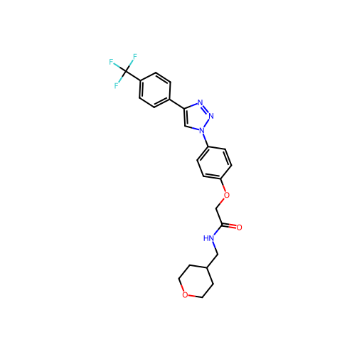 O=C(COc1ccc(-n2cc(-c3ccc(C(F)(F)F)cc3)nn2)cc1)NCC1CCOCC1